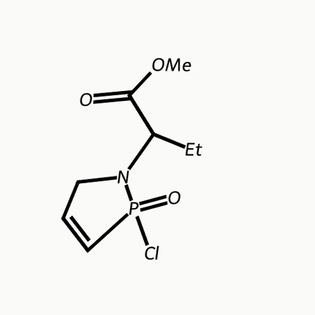 CCC(C(=O)OC)N1CC=CP1(=O)Cl